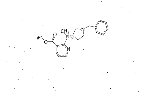 CC(C)OC(=O)c1cccnc1N(C)[C@H]1CCN(Cc2ccccc2)C1